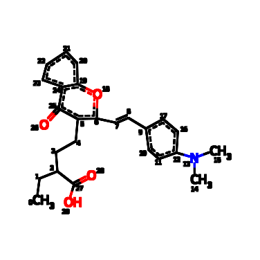 CCC(CCc1c(C=Cc2ccc(N(C)C)cc2)oc2ccccc2c1=O)C(=O)O